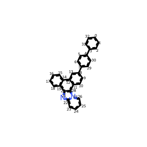 c1ccc(-c2ccc(-c3ccc4c(c3)c3ccccc3c3nc5ccccn5c43)cc2)cc1